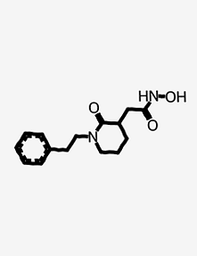 O=C(CC1CCCN(CCc2ccccc2)C1=O)NO